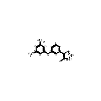 Cc1[nH]nnc1-c1cccc(Cc2cc(C(F)(F)F)cc(C(F)(F)F)c2)c1